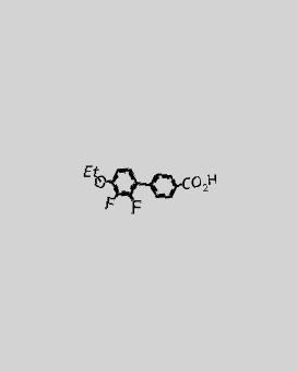 CCOc1ccc(-c2ccc(C(=O)O)cc2)c(F)c1F